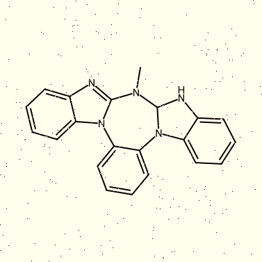 CN1c2nc3ccccc3n2-c2ccccc2N2c3ccccc3NC12